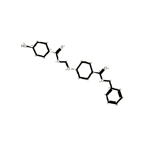 O=C(OCO[C@H]1CC[C@H](C(=O)OCc2ccccc2)CC1)[C@H]1CC[C@H](O)CC1